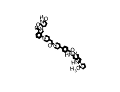 CN1CCC[C@@H]1c1cc2cnc(NC(=O)c3ccc(C4CCN(C(=O)CC5CCN(c6cccc7c6CN(C6CCC(=O)NC6=O)C7=O)CC5)CC4)cc3)cc2[nH]1